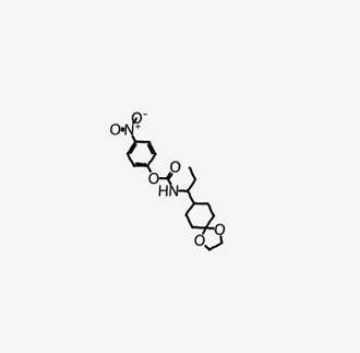 CCC(NC(=O)Oc1ccc([N+](=O)[O-])cc1)C1CCC2(CC1)OCCO2